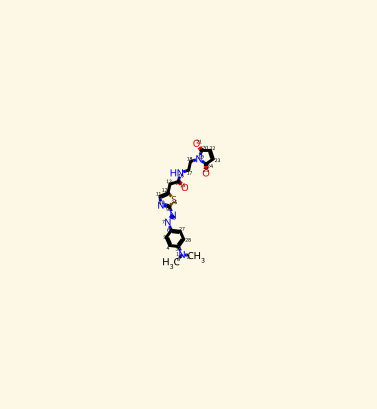 CN(C)c1ccc(N=Nc2ncc(CC(=O)NCCN3C(=O)C=CC3=O)s2)cc1